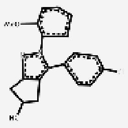 COc1ccccc1-n1nc2c(c1-c1ccc(Cl)cc1)CC(C#N)C2